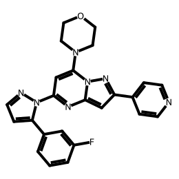 Fc1cccc(-c2ccnn2-c2cc(N3CCOCC3)n3nc(-c4ccncc4)cc3n2)c1